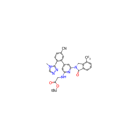 Cn1cnnc1-c1ccc(C#N)cc1-c1cc(NCC(=O)OC(C)(C)C)nc(N2Cc3c(cccc3C(F)(F)F)C2=O)c1